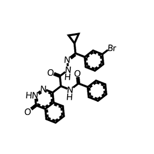 O=C(NC(C(=O)NN=C(c1cccc(Br)c1)C1CC1)c1n[nH]c(=O)c2ccccc12)c1ccccc1